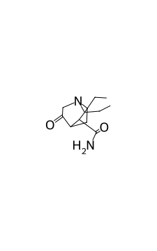 CCC1(CC)C(C(N)=O)C2CCN1CC2=O